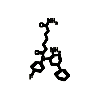 NC(=O)CCCCCC(=O)N(c1ccc(F)cc1)c1cc(-c2ccccc2)ccc1N